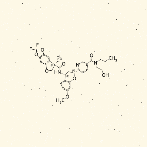 CCCN(CCO)C(=O)c1ccc([C@H]2C[C@@H](NC(=O)[C@@]3(C)COc4cc5c(cc43)OC(F)(F)O5)c3ccc(OC)cc3O2)nc1